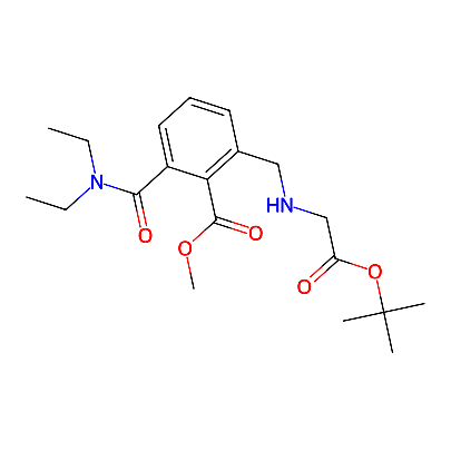 CCN(CC)C(=O)c1cccc(CNCC(=O)OC(C)(C)C)c1C(=O)OC